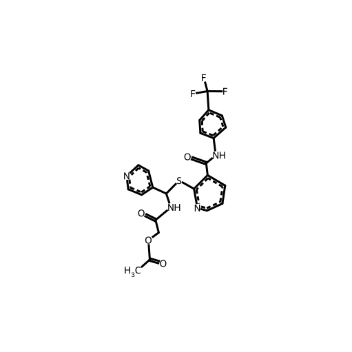 CC(=O)OCC(=O)NC(Sc1ncccc1C(=O)Nc1ccc(C(F)(F)F)cc1)c1ccncc1